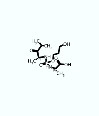 CC(C)C(=O)[C@H](C)NP(=O)(N[C@@H](C)C(=O)O)OCCCO